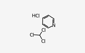 Cl.ClC(Cl)Cl.c1ccncc1